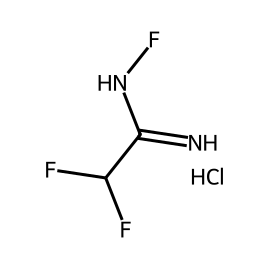 Cl.N=C(NF)C(F)F